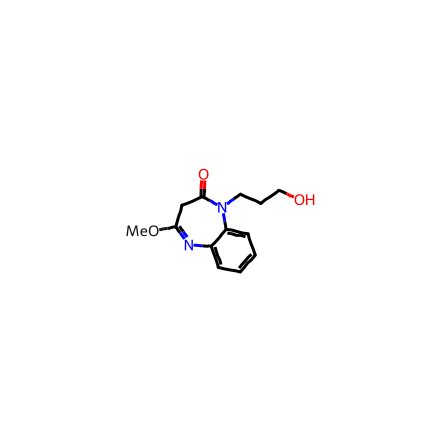 COC1=Nc2ccccc2N(CCCO)C(=O)C1